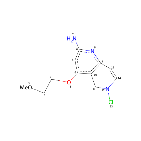 COCCOc1cc(N)nc2c1CN(Cl)C=C2